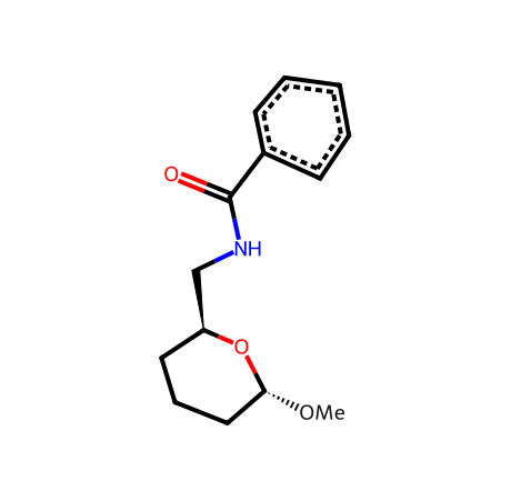 CO[C@@H]1CCC[C@@H](CNC(=O)c2ccccc2)O1